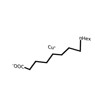 CCCCCCCCCCCCCC(=O)[O-].[Cu+]